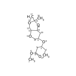 CCC(CC(=O)OC)OC1COC2COC(C)(C)OC2C1